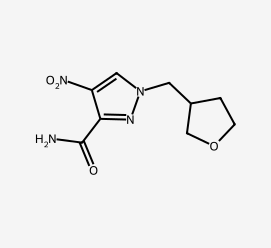 NC(=O)c1nn(CC2CCOC2)cc1[N+](=O)[O-]